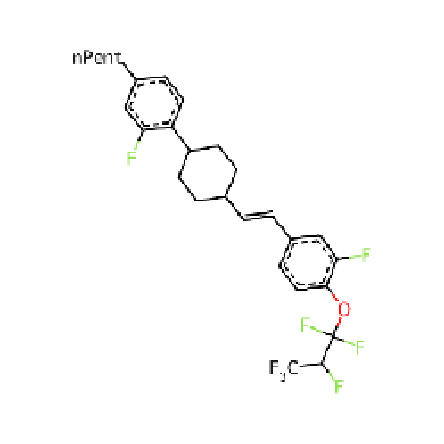 CCCCCc1ccc(C2CCC(/C=C/c3ccc(OC(F)(F)C(F)C(F)(F)F)c(F)c3)CC2)c(F)c1